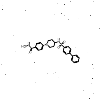 O=C(NO)c1ccc(N2CCC(NS(=O)(=O)c3ccc(-c4ccccc4)cc3)CC2)cc1